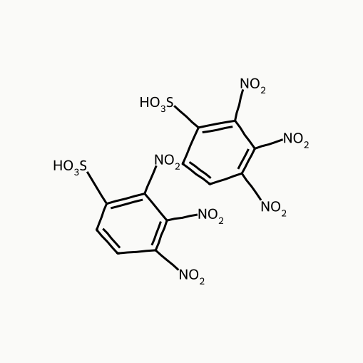 O=[N+]([O-])c1ccc(S(=O)(=O)O)c([N+](=O)[O-])c1[N+](=O)[O-].O=[N+]([O-])c1ccc(S(=O)(=O)O)c([N+](=O)[O-])c1[N+](=O)[O-]